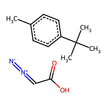 Cc1ccc(C(C)(C)C)cc1.[N-]=[N+]=CC(=O)O